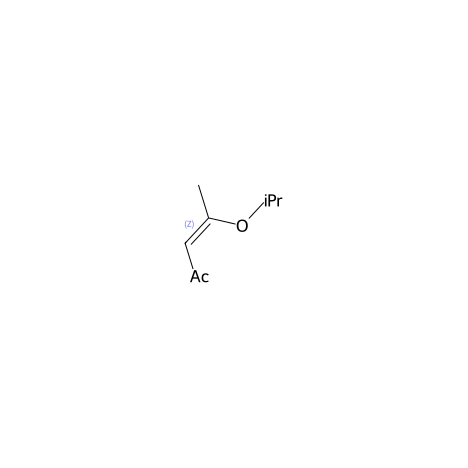 CC(=O)/C=C(/C)OC(C)C